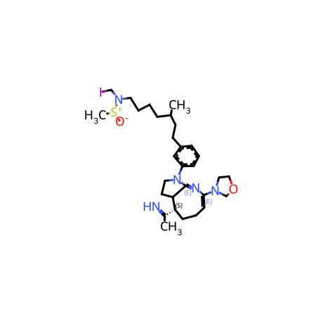 CC(=N)[C@H]1CC/C=C(N2CCOC2)\N=C2/C1CCN2c1cccc(CCC(C)CCCCN(CI)[S+](C)[O-])c1